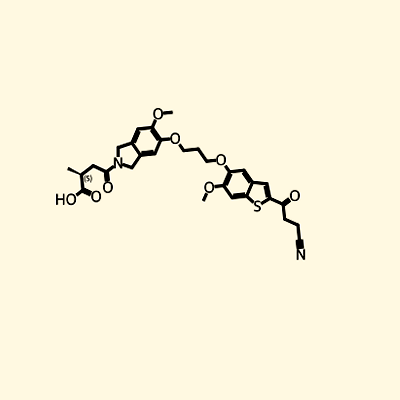 COc1cc2c(cc1OCCCOc1cc3cc(C(=O)CCC#N)sc3cc1OC)CN(C(=O)C[C@H](C)C(=O)O)C2